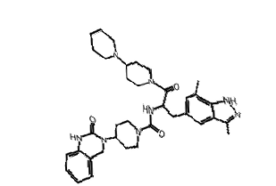 Cc1n[nH]c2c(C)cc(CC(NC(=O)N3CCC(N4Cc5ccccc5NC4=O)CC3)C(=O)N3CCC(N4CCCCC4)CC3)cc12